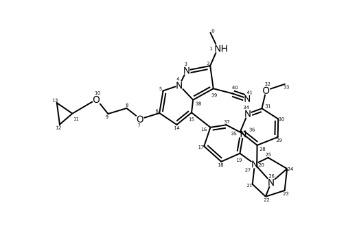 CNc1nn2cc(OCCOC3CC3)cc(-c3ccc(N4CC5CC(C4)N5Cc4ccc(OC)nc4)nc3)c2c1C#N